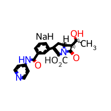 C[C@@H](O)[C@H]1C(=O)N2C(C(=O)O)=C(c3cccc(C(=O)Nc4ccncc4)c3)C[C@H]12.[NaH]